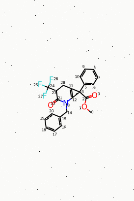 COC(=O)C1(c2ccccc2)C2=C1N(Cc1ccccc1)C(=O)C(C(F)(F)F)C2